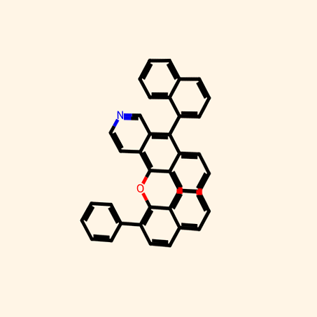 c1ccc(-c2ccc3ccccc3c2Oc2c3ccccc3c(-c3cccc4ccccc34)c3cnccc23)cc1